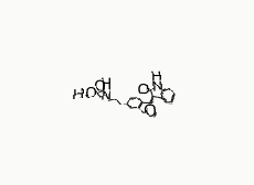 O=C(O)CNCCCc1ccc2c(c1)COC2=C1C(=O)Nc2ccccc21